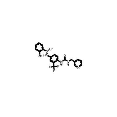 O=C(NCc1cccnc1)Nc1ccc(N[S+]([O-])c2ccccc2Br)cc1C(F)(F)F